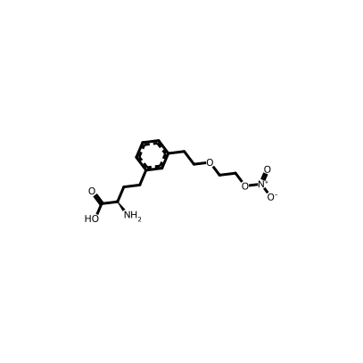 N[C@H](CCc1cccc(CCOCCO[N+](=O)[O-])c1)C(=O)O